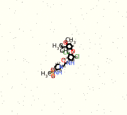 COc1ccc(Oc2c(Cl)cc(NC(=O)CN3CCC[C@@H](NS(C)(=O)=O)C3)cc2Cl)cc1C(C)C